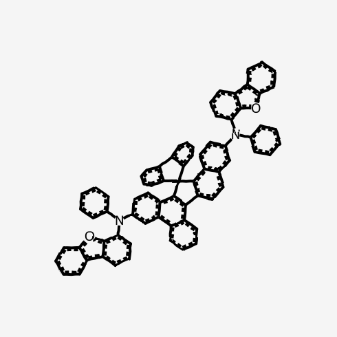 c1ccc(N(c2ccc3c4c(ccc3c2)-c2c(c3ccc(N(c5ccccc5)c5cccc6c5oc5ccccc56)cc3c3ccccc23)C42c3ccccc3-c3ccccc32)c2cccc3c2oc2ccccc23)cc1